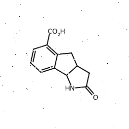 O=C1CC2Cc3c(C(=O)O)cccc3C2N1